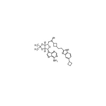 CC(C)N(C[C@H]1O[C@@H](n2cnc3c(N)ncnc32)[C@@H]2OC(C)(C)O[C@@H]21)C1CC(CCc2nc3cc(C4CCC4)ccc3[nH]2)C1